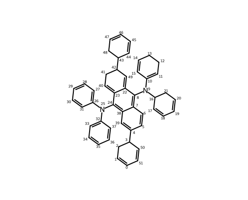 C1=CCC(c2ccc3c(N(C4=CCCC=C4)C4C=CC=CC4)c4c(c(N(c5ccccc5)c5ccccc5)c3c2)=CCC(C2C=CC=CC2)C=4)C=C1